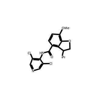 COc1ccc(C(=O)Nc2c(Cl)cncc2Cl)c2c1OCC2C(C)C